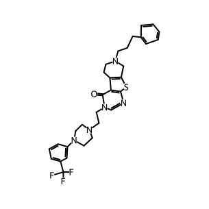 O=c1c2c3c(sc2ncn1CCN1CCN(c2cccc(C(F)(F)F)c2)CC1)CN(CCCc1ccccc1)CC3